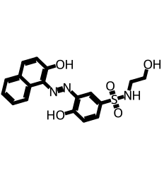 O=S(=O)(NCCO)c1ccc(O)c(N=Nc2c(O)ccc3ccccc23)c1